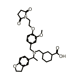 COc1cc(CN(CC2CCCC(C(=O)O)C2)C(C)c2ccc3c(c2)CCO3)ccc1OCCN1C(=O)CCC1=O